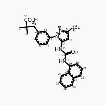 CC(C)(Cc1cccc(-n2nc(C(C)(C)C)cc2NC(=O)Nc2cccc3ccccc23)c1)C(=O)O